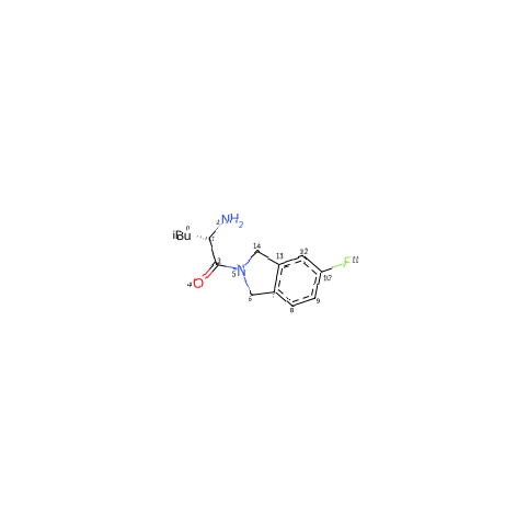 CC[C@@H](C)C(N)C(=O)N1Cc2ccc(F)cc2C1